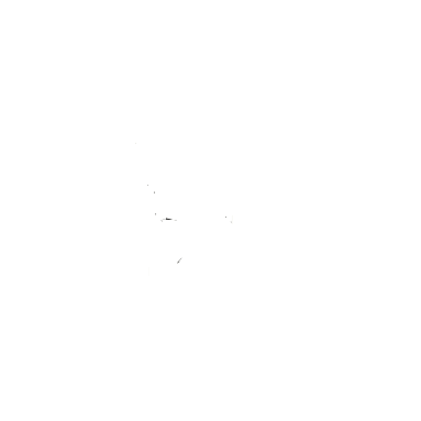 CC(C)C1CC1S(=O)(=O)N1C[C@@H](C)[C@@H](n2nc(CC(=O)O)c3ccccc32)C1